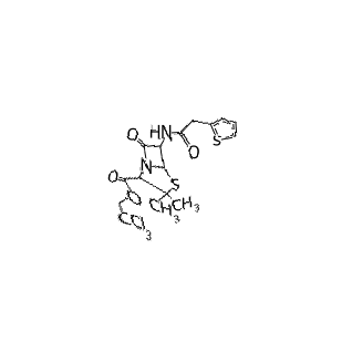 CC1(C)SC2C(NC(=O)Cc3cccs3)C(=O)N2C1C(=O)OCC(Cl)(Cl)Cl